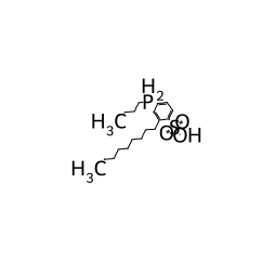 CCCCCCCCCc1ccccc1S(=O)(=O)O.CCCCP